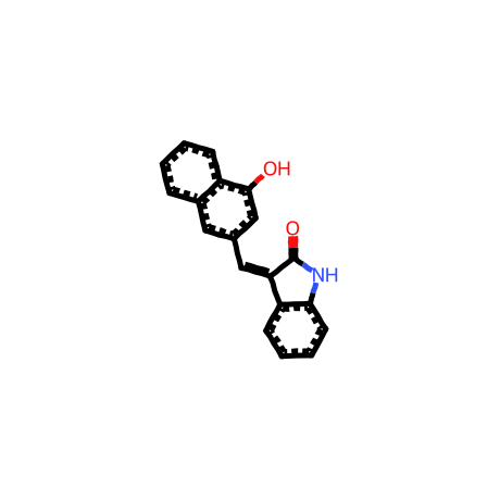 O=C1Nc2ccccc2/C1=C/c1cc(O)c2ccccc2c1